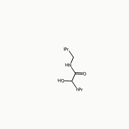 CCCC(O)C(=O)NCC(C)C